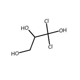 OCC(O)C(O)(Cl)Cl